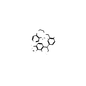 CCOC(=O)CC(c1ccc(C)c(CN2CCOc3ccncc3S2(O)O)c1)c1ccc2c(nnn2C)c1C